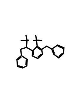 CC(C)(C)[C](Cc1ccccc1)c1cccc(Cc2ccccc2)c1C(C)(C)C